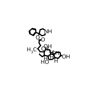 C[C@H](CCC(=O)OC1(c2ccccc2)CCNCC1)[C@H]1CC[C@H]2[C@@H]3C(O)C[C@@H]4CC(O)CC[C@]4(C)[C@H]3CC(O)[C@]12C